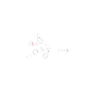 O=C(O)CCCCN1C(=O)C(c2ccc(Cl)cc2)N([C@H](CO)c2ccc(Cl)cc2)C(=O)c2cc(I)ccc21